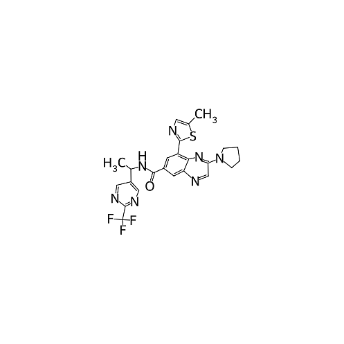 Cc1cnc(-c2cc(C(=O)NC(C)c3cnc(C(F)(F)F)nc3)cc3ncc(N4CCCC4)nc23)s1